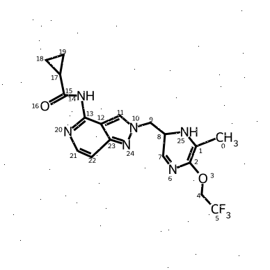 CC1=C(OCC(F)(F)F)N=CC(Cn2cc3c(NC(=O)C4CC4)nccc3n2)N1